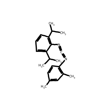 Cc1ccc(N=C=Nc2c(C(C)C)cccc2C(C)C)c(C)c1